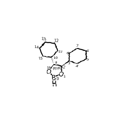 B1O[C@H](C2CCCCC2)[C@@H](C2CCCCC2)O1